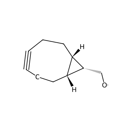 [O]C[C@H]1[C@H]2CCC#CCC[C@@H]12